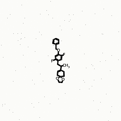 CC(Cc1cc(F)c(OCc2ccccc2)cc1F)C1=CCC2(CC1)OCCO2